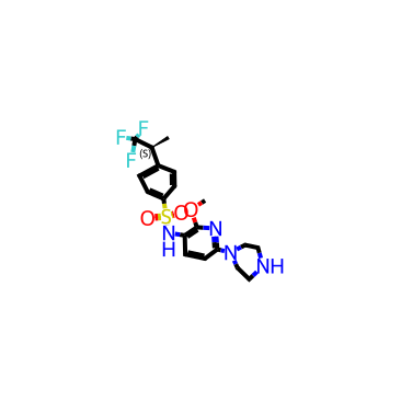 COc1nc(N2CCNCC2)ccc1NS(=O)(=O)c1ccc([C@H](C)C(F)(F)F)cc1